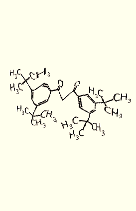 CC(C)(C)c1cc(C(=O)CC(=O)c2cc(C(C)(C)C)cc(C(C)(C)C)c2)cc(C(C)(C)C)c1